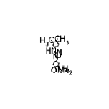 COc1ccc(-c2ccnc(Nc3ccc(C)c(C)c3)n2)cc1N